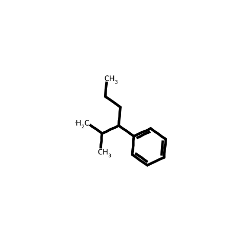 [CH2]C(C)C(CCC)c1ccccc1